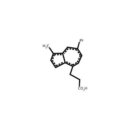 Cc1ccc2c(CCC(=O)O)ccc(C(C)C)cc1-2